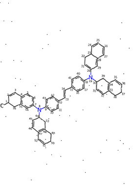 CC1C=Cc2ccc(N(c3ccc(/C=C/c4ccc(N(C5=CCC6C=CC=CC6=C5)C5C=CC6=C(C=CCC6)C5)cc4)cc3)C3C=CC4=C(CCC=C4)C3)cc2C1